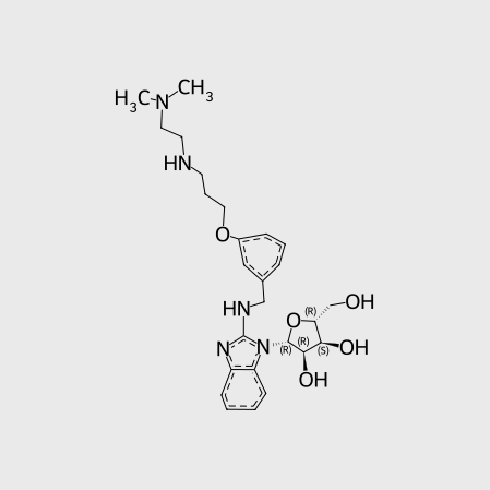 CN(C)CCNCCCOc1cccc(CNc2nc3ccccc3n2[C@@H]2O[C@H](CO)[C@@H](O)[C@H]2O)c1